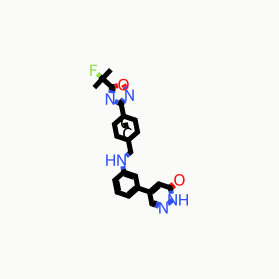 CC(C)(F)c1nc(C23CCC(CNc4cccc(-c5cn[nH]c(=O)c5)c4)(CC2)CC3)no1